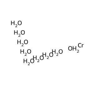 O.O.O.O.O.O.O.O.O.[Cr]